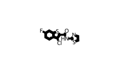 O=C(Nc1nccs1)c1sc2cc(F)ccc2c1Cl